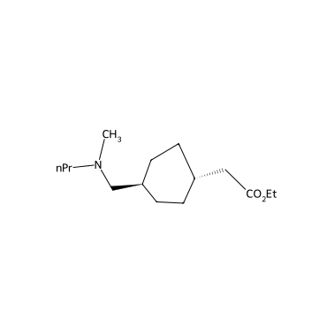 CCCN(C)C[C@H]1CC[C@H](CC(=O)OCC)CC1